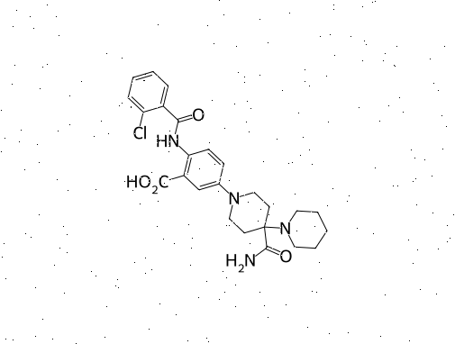 NC(=O)C1(N2CCCCC2)CCN(c2ccc(NC(=O)c3ccccc3Cl)c(C(=O)O)c2)CC1